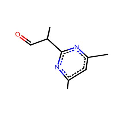 Cc1cc(C)nc(C(C)C=O)n1